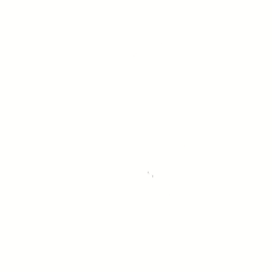 CCCN(CCC)C(=O)c1ccc(C)c(C(=O)O)c1